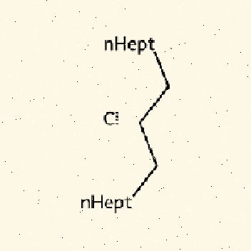 CCCCCCCCCCCCCCCCC.[C]